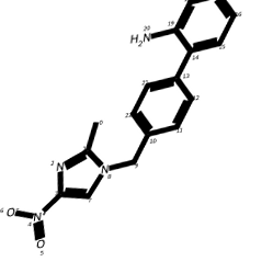 Cc1nc([N+](=O)[O-])cn1Cc1ccc(-c2ccccc2N)cc1